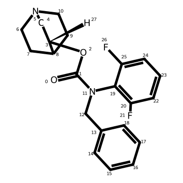 O=C(O[C@H]1CN2CCC1CC2)N(Cc1ccccc1)c1c(F)cccc1F